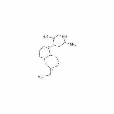 CC[C@@H]1CCCC2C(CCC[C@@H]2C2CC(N)NCN2C)C1